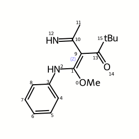 CO/C(Nc1ccccc1)=C(/C(C)=N)C(=O)C(C)(C)C